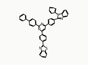 c1ccc(-c2ccc(-c3nc(-c4ccc(-c5nc6ccccc6s5)cc4)cc(-c4ccc(-c5nc6ccccc6n5-c5ccccc5)cc4)n3)cc2)cc1